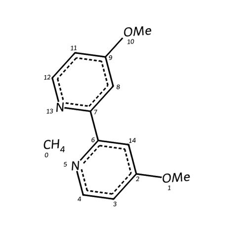 C.COc1ccnc(-c2cc(OC)ccn2)c1